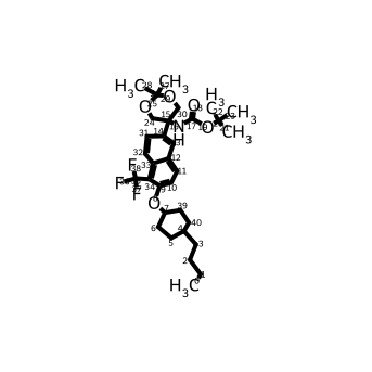 CCCCC1CCC(Oc2ccc3cc(C4(NC(=O)OC(C)(C)C)COC(C)(C)OC4)ccc3c2C(F)(F)F)CC1